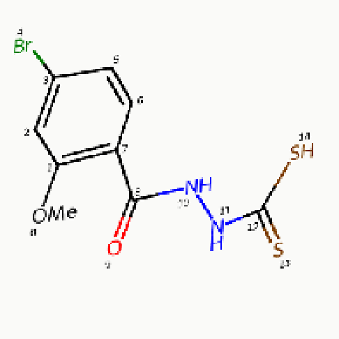 COc1cc(Br)ccc1C(=O)NNC(=S)S